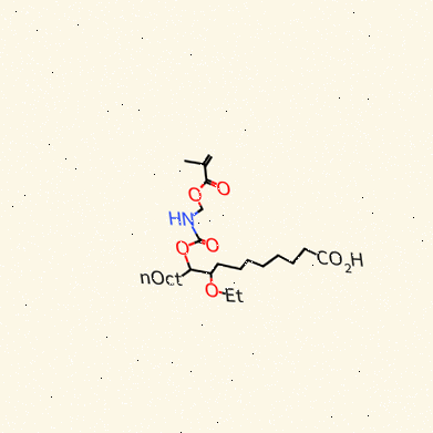 C=C(C)C(=O)OCNC(=O)OC(CCCCCCCC)C(CCCCCCCC(=O)O)OCC